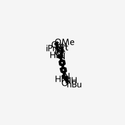 CCCCC(=O)Nc1nc(-c2ccc(-c3ccc(-c4c[nH]c([C@H](C)N(CC)C(=O)[C@@H](NC(=O)OC)C(C)C)n4)cc3)cc2)c[nH]1